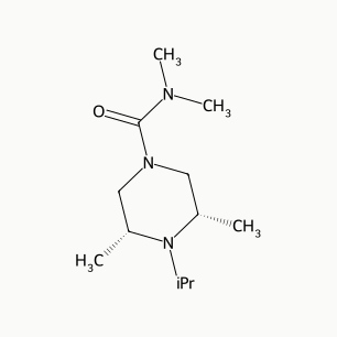 CC(C)N1[C@H](C)CN(C(=O)N(C)C)C[C@@H]1C